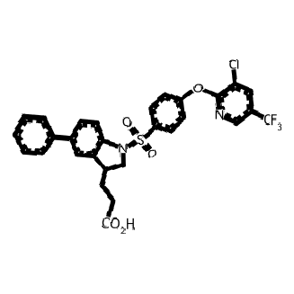 O=C(O)CCC1CN(S(=O)(=O)c2ccc(Oc3ncc(C(F)(F)F)cc3Cl)cc2)c2ccc(-c3ccccc3)cc21